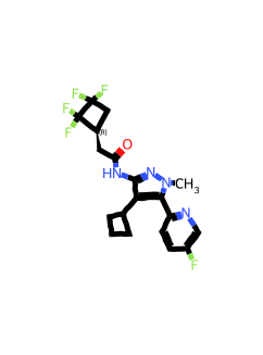 Cn1nc(NC(=O)C[C@@H]2CC(F)(F)C2(F)F)c(C2CCC2)c1-c1ccc(F)cn1